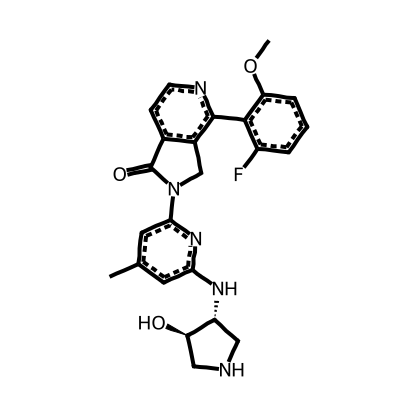 COc1cccc(F)c1-c1nccc2c1CN(c1cc(C)cc(N[C@@H]3CNC[C@H]3O)n1)C2=O